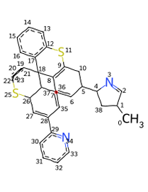 CC1C=NC(C2C=CC3=C(C2)Sc2ccccc2C32C3C=CC=CC3SC3C=C(c4ccccn4)C=CC32)C1